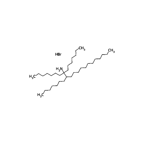 Br.CCCCCCCCCCCCC(CCCCCCC)C(N)(CCCCCCC)CCCCCCC